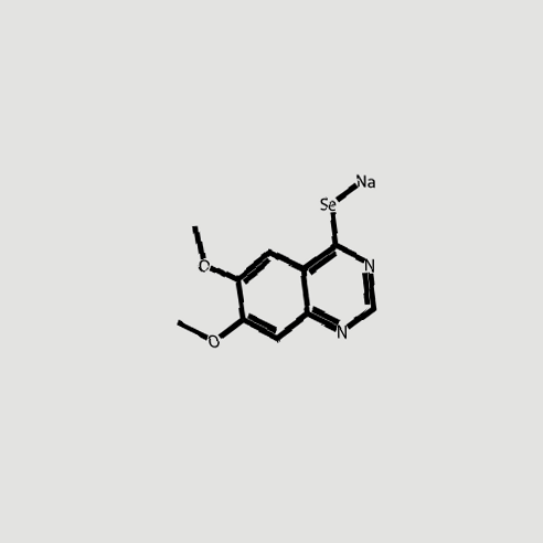 COc1cc2ncnc([Se][Na])c2cc1OC